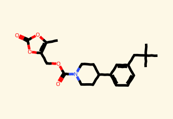 Cc1oc(=O)oc1COC(=O)N1CCC(c2cccc(CC(C)(C)C)c2)CC1